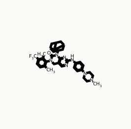 Cc1ccc(C(F)(F)F)c(C)c1N1Cc2cnc(Nc3ccc(N4CCN(C)CC4)cc3)nc2N(C23CC4CC(CC(C4)C2)C3)C1=O